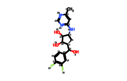 Cc1cc(N[C@@H]2C[C@H]([C@@H](O)c3ccc(F)c(F)c3)[C@@H](O)[C@H]2O)ncn1